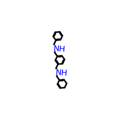 C1=CC(CNCc2cccc(CNCc3ccccc3)c2)=CCC1